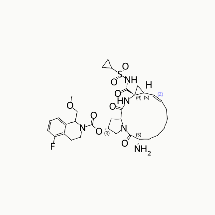 COCC1c2cccc(F)c2CCN1C(=O)O[C@@H]1CC2C(=O)N[C@]3(C(=O)NS(=O)(=O)C4CC4)C[C@H]3/C=C\CCCCC[C@H](N)C(=O)N2C1